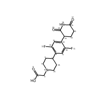 O=C(O)CN1CCC(c2cc(F)c(C3CCC(=O)NC3=O)cc2F)CC1